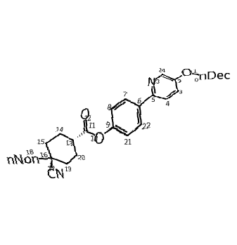 CCCCCCCCCCOc1ccc(-c2ccc(OC(=O)[C@H]3CC[C@@](C#N)(CCCCCCCCC)CC3)cc2)nc1